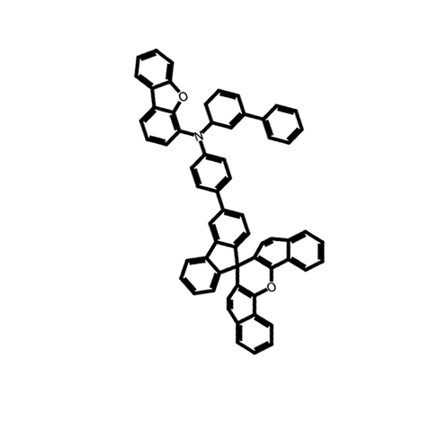 C1=CC(c2ccccc2)=CC(N(c2ccc(-c3ccc4c(c3)-c3ccccc3C43c4ccc5ccccc5c4Oc4c3ccc3ccccc43)cc2)c2cccc3c2oc2ccccc23)C1